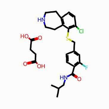 CC(C)CNC(=O)c1ccc(CSc2c(Cl)ccc3c2CCNCC3)cc1F.O=C(O)CCC(=O)O